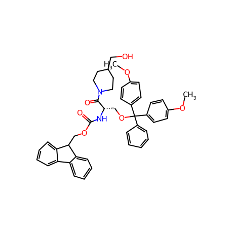 COc1ccc(C(OC[C@H](NC(=O)OCC2c3ccccc3-c3ccccc32)C(=O)N2CCC(CO)CC2)(c2ccccc2)c2ccc(OC)cc2)cc1